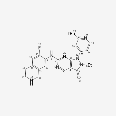 CCn1c(=O)c2cnc(Nc3cc4c(cc3F)CCNC4)nc2n1-c1ccnc(C(C)(C)C)c1